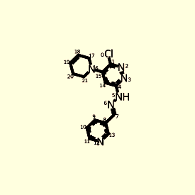 Clc1nnc(NN=Cc2cccnc2)cc1N1CC=CCC1